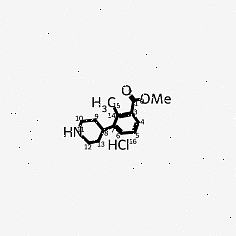 COC(=O)c1cccc(C2CCNCC2)c1C.Cl